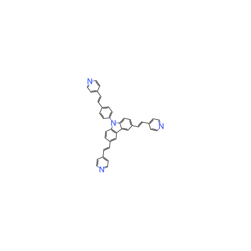 C(=C\c1ccc(-n2c3ccc(/C=C/c4ccncc4)cc3c3cc(/C=C/c4ccncc4)ccc32)cc1)/c1ccncc1